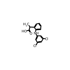 CC(C(=O)O)c1ccccc1Nc1cc(Cl)cc(Cl)c1